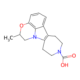 CC1Cn2c3c(c4cccc(c42)O1)CCN(C(=O)O)CC3